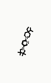 CCC1(C(C)C)CCN(c2ccc(B3CC(C)(C)C(C)(C)C3)cn2)CC1